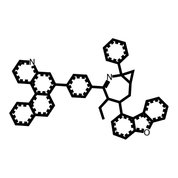 CCC1C(c2ccc(-c3cc4ncccc4c4c3ccc3ccccc34)cc2)=NC2(c3ccccc3)CC2CC1c1cccc2oc3ccccc3c12